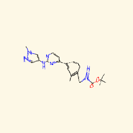 Cc1cc(-c2ccnc(Nc3cnn(C)c3)n2)ccc1CNC(=O)OC(C)(C)C